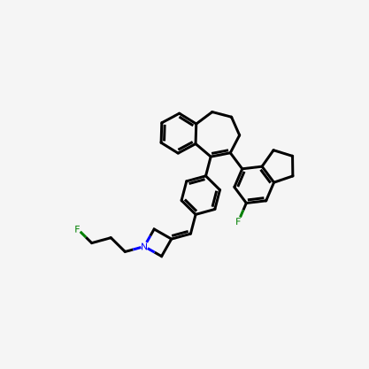 FCCCN1CC(=Cc2ccc(C3=C(c4cc(F)cc5c4CCC5)CCCc4ccccc43)cc2)C1